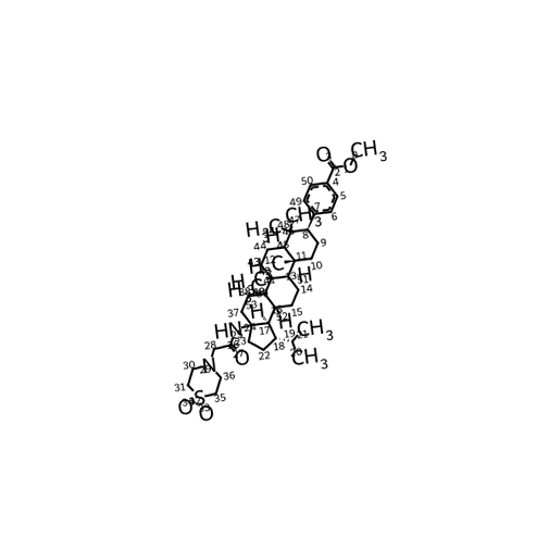 COC(=O)c1ccc([C@H]2CC[C@]3(C)[C@H]4CC[C@@H]5[C@H]6[C@H](C(C)C)CCC6(NC(=O)CN6CCS(=O)(=O)CC6)CC[C@@]5(C)[C@]4(C)CC[C@H]3C2(C)C)cc1